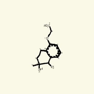 [CH2]CC1c2cccc(OCC(=O)O)c2CCC1(C)O